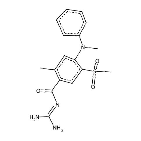 Cc1cc(N(C)c2ccccc2)c(S(C)(=O)=O)cc1C(=O)N=C(N)N